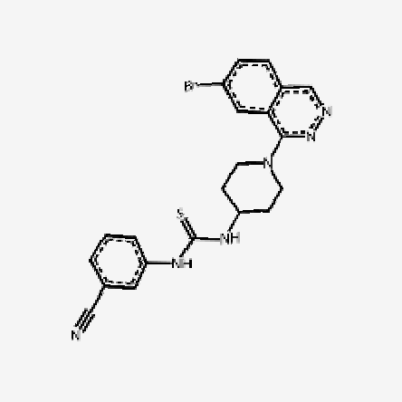 N#Cc1cccc(NC(=S)NC2CCN(c3nncc4ccc(Br)cc34)CC2)c1